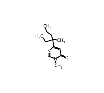 CCCC(C)(CC)c1cc(=O)n(C)cn1